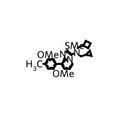 COc1cc(C)cc(OC)c1-c1cccn2c(N(CC3CCC3)CC3CC3)c(SC)nc12